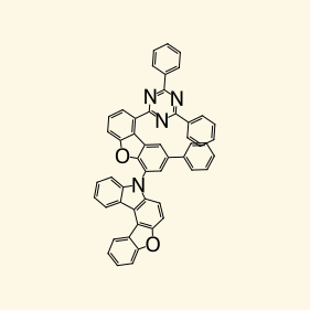 c1ccc(-c2cc(-n3c4ccccc4c4c5c(ccc43)oc3ccccc35)c3oc4cccc(-c5nc(-c6ccccc6)nc(-c6ccccc6)n5)c4c3c2)cc1